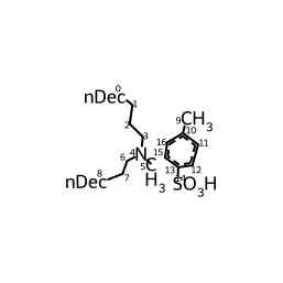 CCCCCCCCCCCCCN(C)CCCCCCCCCCCC.Cc1ccc(S(=O)(=O)O)cc1